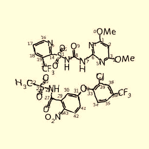 COc1cc(OC)nc(NC(=O)NS(=O)(=O)c2ncccc2C(F)(F)F)n1.CS(=O)(=O)NC(=O)c1cc(Oc2ccc(C(F)(F)F)cc2Cl)ccc1[N+](=O)[O-]